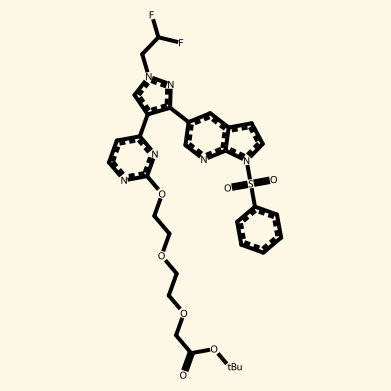 CC(C)(C)OC(=O)COCCOCCOc1nccc(-c2cn(CC(F)F)nc2-c2cnc3c(ccn3S(=O)(=O)c3ccccc3)c2)n1